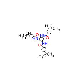 CC(C)[C@H]1CC[C@@H](C(=O)Nc2cc(NC(=O)[C@H]3CC[C@@H](C(C)C)CC3)cc(NC(=O)[C@H]3CC[C@H](C(C)(C)C)CC3)c2)CC1